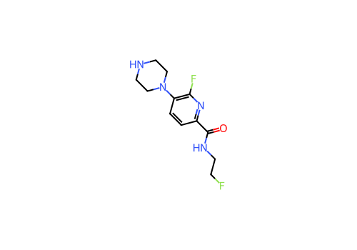 O=C(NCCF)c1ccc(N2CCNCC2)c(F)n1